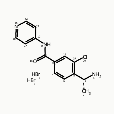 Br.Br.C[C@@H](N)c1ccc(C(=O)Nc2ccncc2)cc1Cl